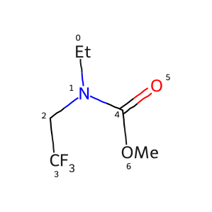 CCN(CC(F)(F)F)C(=O)OC